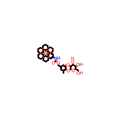 Cc1cc(COC(=O)Nc2ccc(S(C3CCCCC3)(C3CCCCC3)(C3CCCCC3)(C3CCCCC3)C3CCCCC3)cc2)ccc1OC1OC(CO)[C@H](O)C(O)[C@@H]1O